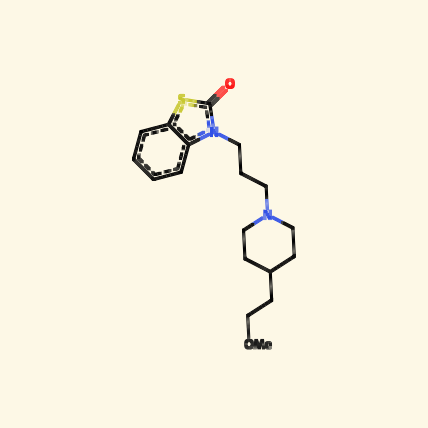 COCCC1CCN(CCCn2c(=O)sc3ccccc32)CC1